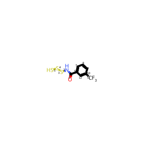 O=C(NSSS)c1cccc(C(F)(F)F)c1